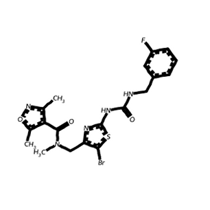 Cc1noc(C)c1C(=O)N(C)Cc1nc(NC(=O)NCc2cccc(F)c2)sc1Br